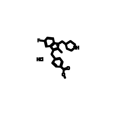 COC(=O)c1ccc(Cc2c(C)n(CC3CCNCC3)c3ccc(F)cc23)cc1.Cl